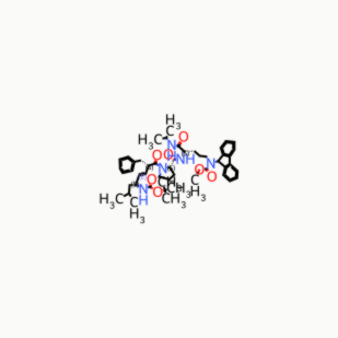 COC(=O)N(CCC[C@H](NC(=O)[C@@H]1CCCN1C(=O)[C@H](/C=C/[C@H](CC(C)C)NC(=O)OC(C)(C)C)Cc1ccccc1)C(=O)NC(C)C)C1c2ccccc2-c2ccccc21